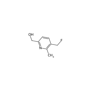 Cc1nc(CO)ccc1CF